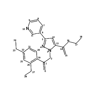 C=C(Cn1nc(-c2cccnc2)cc1C(=C)CCC)c1ccc(CC)cc1CC